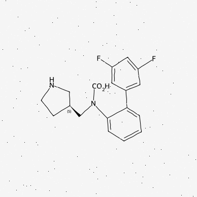 O=C(O)N(C[C@H]1CCNC1)c1ccccc1-c1cc(F)cc(F)c1